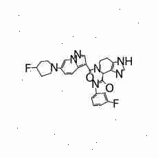 O=C(c1cnn2cc(N3CCC(F)CC3)ccc12)N1CCc2[nH]cnc2[C@H]1c1nc2cccc(F)c2o1